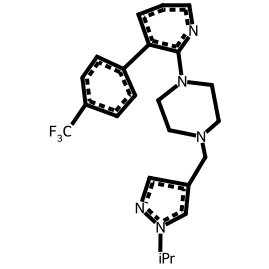 CC(C)n1cc(CN2CCN(c3ncccc3-c3ccc(C(F)(F)F)cc3)CC2)cn1